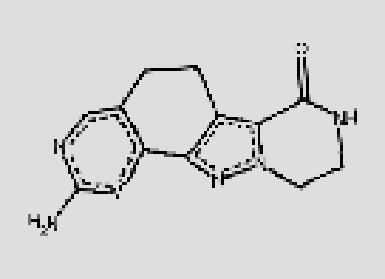 Nc1ncc2c(n1)-c1nn3c(c1CC2)C(=O)NCC3